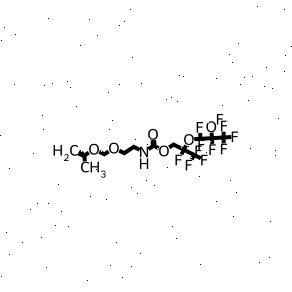 C=C(C)OCOCCNC(=O)OCC(F)(OC(F)(F)C(F)(OF)C(F)(F)F)C(F)(F)F